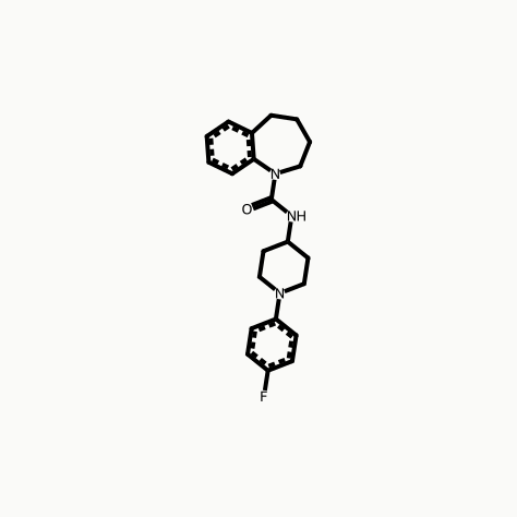 O=C(NC1CCN(c2ccc(F)cc2)CC1)N1CCCCc2ccccc21